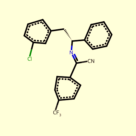 N#C/C(=N\[C@H](Cc1cccc(Cl)c1)c1ccccc1)c1ccc(C(F)(F)F)cc1